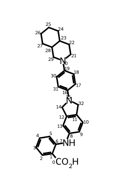 O=C(O)c1ccccc1Nc1ccc2c(c1)CN(c1ccc(N3CCC4CCCCC4C3)cc1)C2